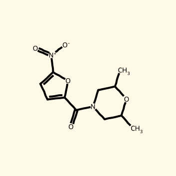 CC1CN(C(=O)c2ccc([N+](=O)[O-])o2)CC(C)O1